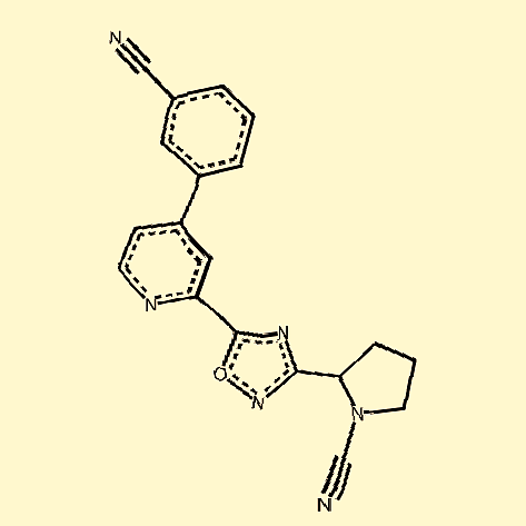 N#Cc1cccc(-c2ccnc(-c3nc(C4CCCN4C#N)no3)c2)c1